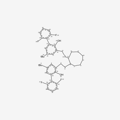 CC(C)(C)c1cc(CSC2CCCCCCC2SCc2cc(C(C)(C)C)cc(-c3c(F)cccc3F)c2O)c(O)c(-c2c(F)cccc2F)c1